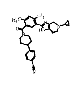 Cc1cc(C)c(-c2nc3c([nH]2)CCN(C2CC2)C3)cc1C(=O)N1CCC(c2ccc(C#N)cc2)CC1